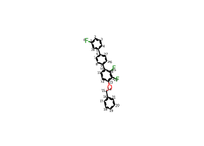 Fc1cccc(-c2ccc(-c3ccc(OCc4ccccc4)c(F)c3F)cc2)c1